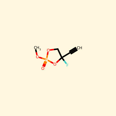 C#CC1(F)COP(=O)(OC)O1